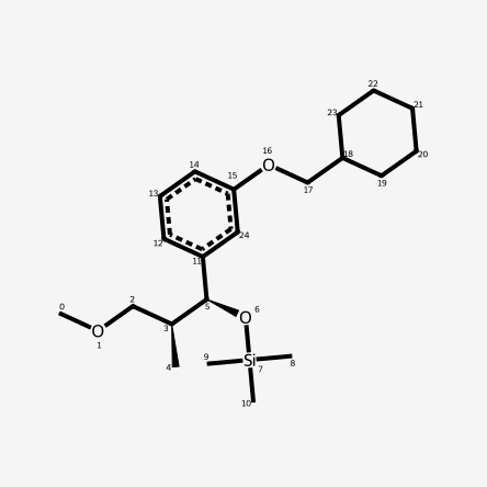 COC[C@H](C)[C@H](O[Si](C)(C)C)c1cccc(OCC2CCCCC2)c1